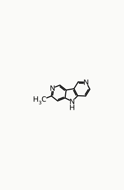 Cc1cc2[nH]c3ccncc3c2cn1